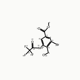 COC(=O)c1cc(Br)c(CCl)c(NC(=O)C(F)(F)F)c1